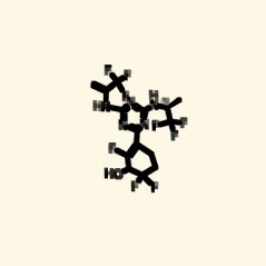 C=C(Nc1nc(N[C@@H](C)C(F)(F)F)nc(C2=C(F)C(O)C(F)(F)CC2)n1)C(F)(F)F